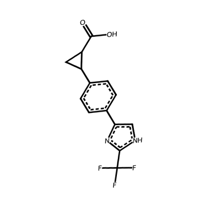 O=C(O)C1CC1c1ccc(-c2c[nH]c(C(F)(F)F)n2)cc1